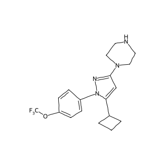 FC(F)(F)Oc1ccc(-n2nc(N3CCNCC3)cc2C2CCC2)cc1